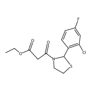 CCOC(=O)CC(=O)N1CCSC1c1ccc(F)cc1Cl